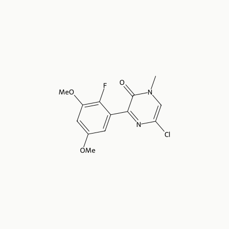 COc1cc(OC)c(F)c(-c2nc(Cl)cn(C)c2=O)c1